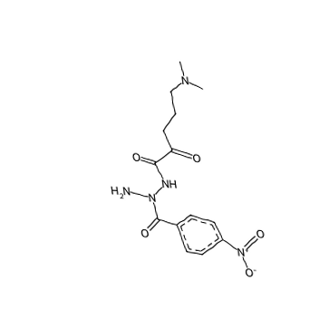 CN(C)CCCC(=O)C(=O)NN(N)C(=O)c1ccc([N+](=O)[O-])cc1